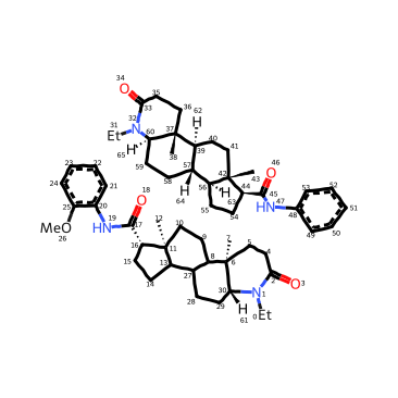 CCN1C(=O)CC[C@]2(C)C3CC[C@@]4(C)C(CC[C@@H]4C(=O)Nc4ccccc4OC)C3CC[C@@H]12.CCN1C(=O)CC[C@]2(C)[C@H]3CC[C@]4(C)[C@@H](C(=O)Nc5ccccc5)CC[C@H]4[C@@H]3CC[C@@H]12